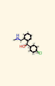 CNCc1ccccc1C(O)c1ccc(Cl)cc1